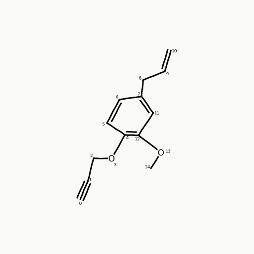 C#CCOc1ccc(CC=C)cc1OC